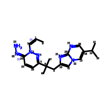 C/C=C\n1nc(C(C)(C)Cc2cn3cc(C(C)C)cnc3n2)cc/c1=N/N